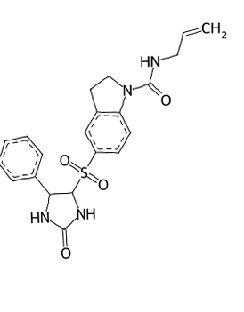 C=CCNC(=O)N1CCc2cc(S(=O)(=O)C3NC(=O)NC3c3ccccc3)ccc21